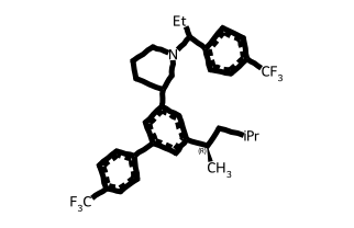 CCC(c1ccc(C(F)(F)F)cc1)N1CCCC(c2cc(-c3ccc(C(F)(F)F)cc3)cc([C@H](C)CC(C)C)c2)C1